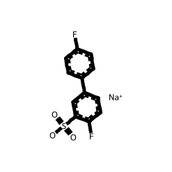 O=S(=O)([O-])c1cc(-c2ccc(F)cc2)ccc1F.[Na+]